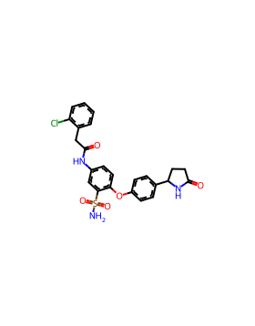 NS(=O)(=O)c1cc(NC(=O)Cc2ccccc2Cl)ccc1Oc1ccc(C2CCC(=O)N2)cc1